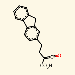 O=C=C(CCc1ccc2c(c1)Cc1ccccc1-2)C(=O)O